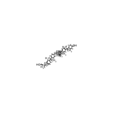 CC(C)(C#CO)Oc1ccc(C(C)(C)c2ccc(OC(C)(C)C(C)(C)P(C)(=O)Oc3ccc(C(C)(C)c4ccc(O)cc4)cc3)cc2)cc1